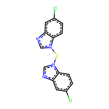 Clc1ccc2c(c1)ncn2Sn1cnc2cc(Cl)ccc21